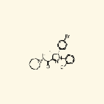 C[C@H]1C(C(=O)NN2CCCCCC2)=NN(c2ccccc2Cl)[C@H]1c1ccc(Br)cc1